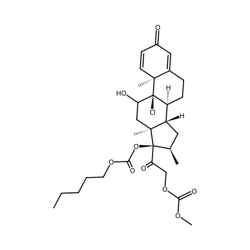 CCCCCOC(=O)O[C@]1(C(=O)COC(=O)OC)[C@H](C)C[C@H]2[C@@H]3CCC4=CC(=O)C=C[C@]4(C)[C@@]3(Cl)C(O)C[C@@]21C